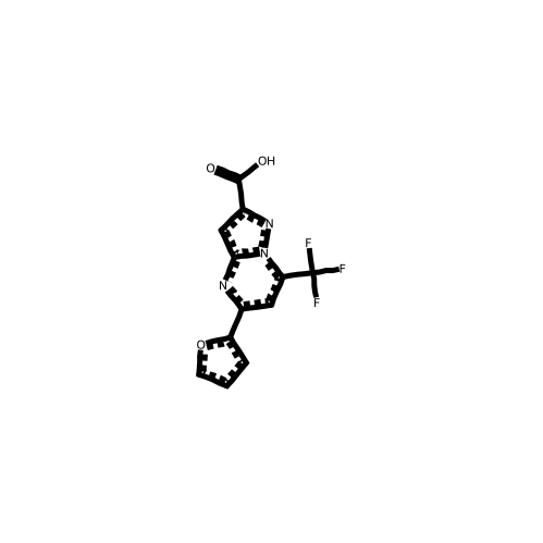 O=C(O)c1cc2nc(-c3ccco3)cc(C(F)(F)F)n2n1